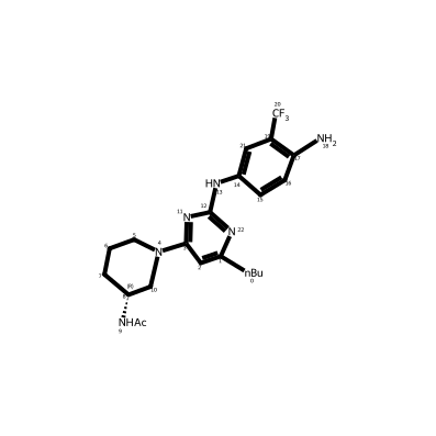 CCCCc1cc(N2CCC[C@@H](NC(C)=O)C2)nc(Nc2ccc(N)c(C(F)(F)F)c2)n1